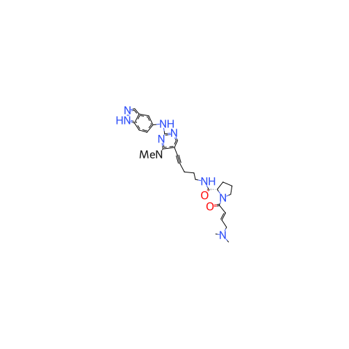 CNc1nc(Nc2ccc3[nH]ncc3c2)ncc1C#CCCCNC(=O)[C@@H]1CCCN1C(=O)/C=C/CN(C)C